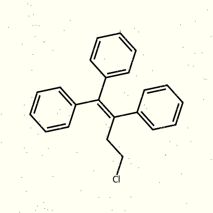 ClCCC(=C(c1cc[c]cc1)c1ccccc1)c1ccccc1